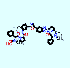 Cc1ccc(-c2ncc(-c3ccc4[nH]c([C@@H]5CCCN5C(=O)[C@@H](c5ccccc5)N(C)C)nc4c3)o2)cc1NC(=O)[C@@H]1CCCN1C(=O)[C@@H](c1ccccc1)N(C)C(=O)O